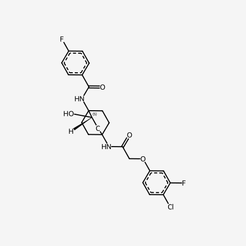 O=C(COc1ccc(Cl)c(F)c1)NC12CCC(NC(=O)c3ccc(F)cc3)(CC1)[C@@H](O)C2